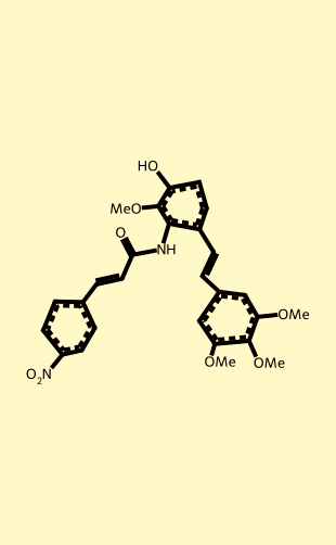 COc1cc(C=Cc2ccc(O)c(OC)c2NC(=O)/C=C/c2ccc([N+](=O)[O-])cc2)cc(OC)c1OC